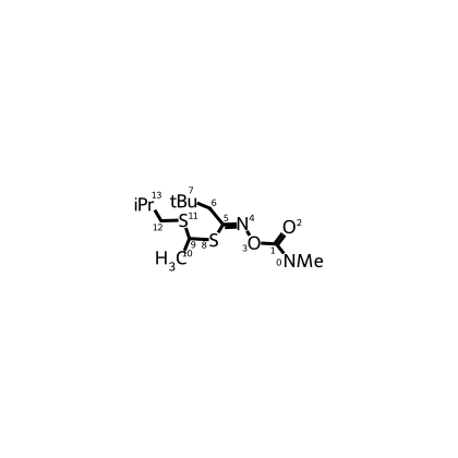 CNC(=O)ON=C(CC(C)(C)C)SC(C)SCC(C)C